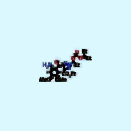 CCOC(=O)c1nn(C(CC)OC(=O)OC(CC)CC)nc1C(=O)c1cc(OC)c(OC)cc1N